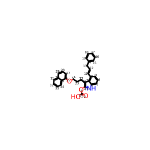 O=C(O)Oc1[nH]c2cccc(/C=C/Cc3ccccc3)c2c1CCCOc1cccc2ccccc12